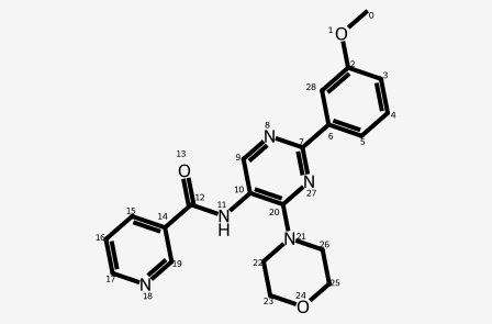 COc1cccc(-c2ncc(NC(=O)c3cccnc3)c(N3CCOCC3)n2)c1